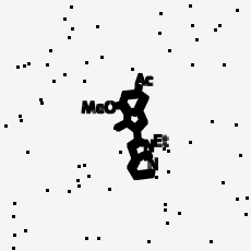 CCn1c(C2=Cc3cc(C(C)=O)cc(OC)c3C2C)cc2cccnc21